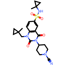 CC1(Cn2c(=O)n(C3CCN(C#N)CC3)c(=O)c3cc(S(=O)(=O)NC4(C)CC4)ccc32)CC1